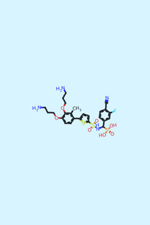 Cc1c(-c2ccc(S(=O)(=O)NC(c3ccc(C#N)c(F)c3)P(=O)(O)O)s2)ccc(OCCCN)c1OCCCN